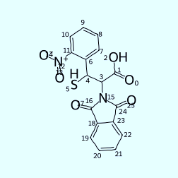 O=C(O)C(C(S)c1ccccc1[N+](=O)[O-])N1C(=O)c2ccccc2C1=O